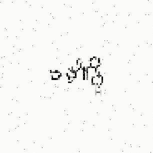 O=C(Nc1ccccc1N1CCNCC1)c1csc(-c2ccsc2)n1